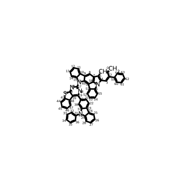 C=C/C(=C\c1c(C)c2cc3c4ccccc4n(-c4nc(-c5ccc6c7ccccc7n(-c7ccccc7)c6c5)c5c(n4)sc4ccccc45)c3c3c4ccccc4n1c23)c1ccccc1